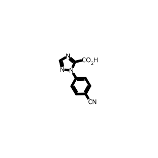 N#Cc1ccc(-n2ncnc2C(=O)O)cc1